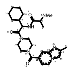 CNC(C)C(=O)NC(C(=O)N1CCN(C(=O)c2ccn3cc(C)nc3c2)CC1)C1CCCCC1